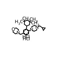 CC1(C)CC(c2cc(CN3CCOCC3)ccc2N2CCN(CC3CC3)CC2)CC(C)(C)C1.Cl.Cl